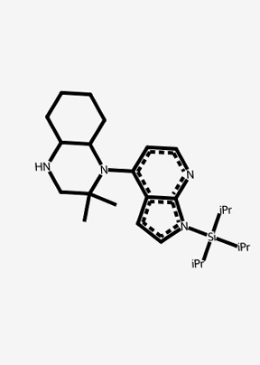 CC(C)[Si](C(C)C)(C(C)C)n1ccc2c(N3C4CCCCC4NCC3(C)C)ccnc21